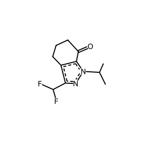 CC(C)n1nc(C(F)F)c2c1C(=O)CCC2